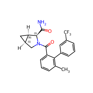 Cc1cccc(C(=O)N2C[C@H]3C[C@H]3[C@H]2C(N)=O)c1-c1cccc(C(F)(F)F)c1